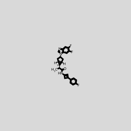 CC(C(=O)NC12CC(c3ccc(F)cc3)(C1)C2)[C@H]1[C@@H]2C[C@@H](n3cnc4cc(F)c(F)cc43)C[C@@H]21